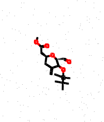 C=C1C[C@@H](CC(=O)OC)O[C@H](C=O)[C@H]1O[Si](C)(C)C(C)(C)C